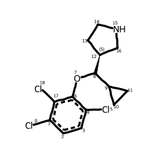 Clc1ccc(Cl)c(OC(C2CC2)[C@H]2CCNC2)c1Cl